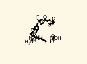 CCCCCNc1nc(N)nc2ccn(Cc3ccc(CN4CCN(C(=O)CCN5C(=O)C=CC5=O)C[C@@H]4CF)cc3OC)c12.O=C(O)C(F)(F)F